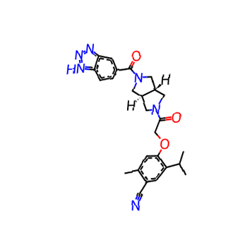 Cc1cc(OCC(=O)N2C[C@H]3CN(C(=O)c4ccc5[nH]nnc5c4)C[C@@H]3C2)c(C(C)C)cc1C#N